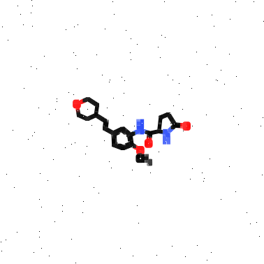 COc1ccc(C=CC2CCOCC2)cc1NC(=O)C1CCC(=O)N1